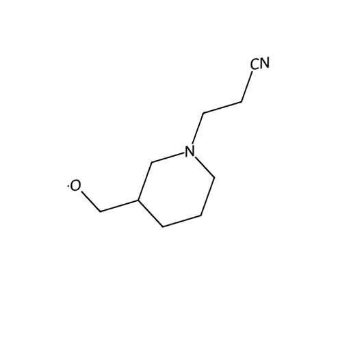 N#CCCN1CCCC(C[O])C1